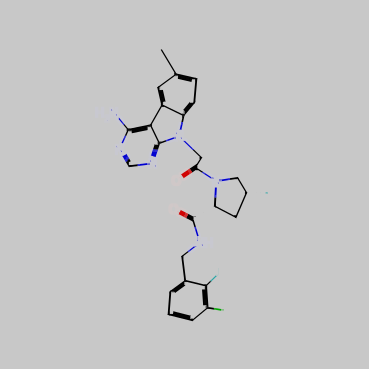 Cc1ccc2c(c1)c1c(N)ncnc1n2CC(=O)N1C[C@H](F)C[C@@H]1C(=O)NCc1cccc(Cl)c1F